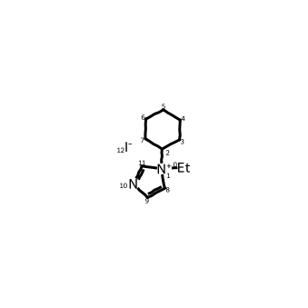 CC[N+]1(C2CCCCC2)C=CN=C1.[I-]